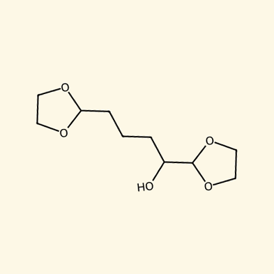 OC(CCCC1OCCO1)C1OCCO1